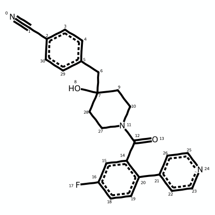 N#Cc1ccc(CC2(O)CCN(C(=O)c3cc(F)ccc3-c3ccncc3)CC2)cc1